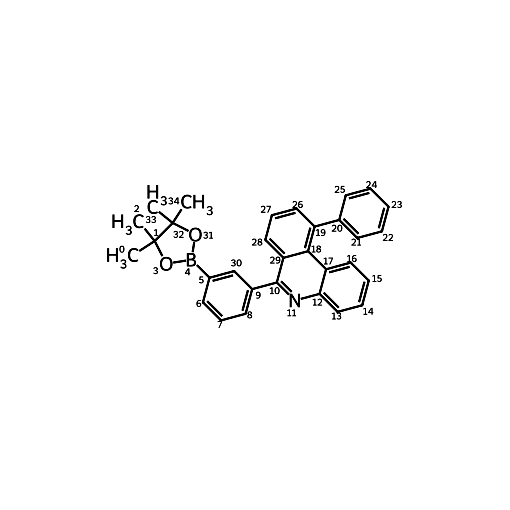 CC1(C)OB(c2cccc(-c3nc4ccccc4c4c(-c5ccccc5)cccc34)c2)OC1(C)C